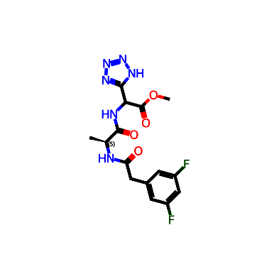 COC(=O)C(NC(=O)[C@H](C)NC(=O)Cc1cc(F)cc(F)c1)c1nnn[nH]1